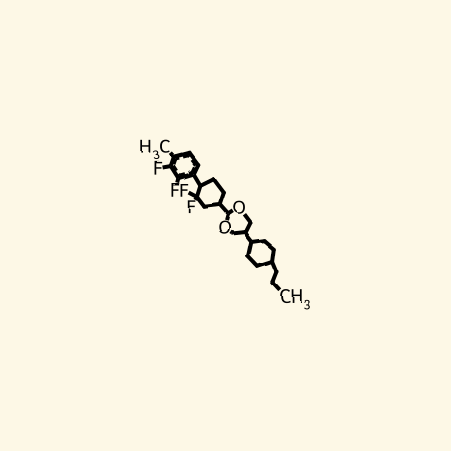 CCCC1CCC(C2COC(C3CCC(c4ccc(C)c(F)c4F)C(F)(F)C3)OC2)CC1